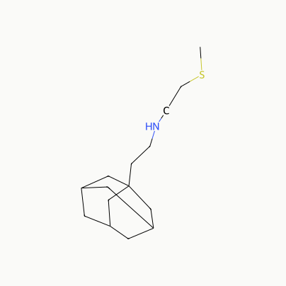 CSCCNCCC12CC3CC(CC(C3)C1)C2